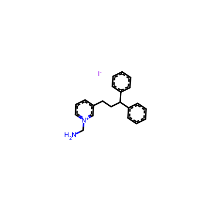 NC[n+]1cccc(CCC(c2ccccc2)c2ccccc2)c1.[I-]